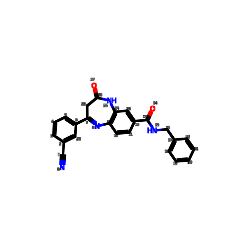 N#Cc1cccc(C2=Nc3ccc(C(=O)NCc4ccccc4)cc3NC(=O)C2)c1